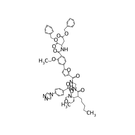 CCCCCC(C(=O)NCNC(=O)c1ccc(-c2ccc(C(=O)NC(CC(=O)OCc3ccccc3)C(=O)OCc3ccccc3)c(OCC)c2)o1)[C@@H](CC)N(C=O)OC(=O)c1ccc(-n2cnnc2)cc1